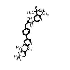 C=C(Cc1ccc(-c2cnc(NC(=C/C)/C(C)=N\C)nc2)cc1)Nc1cnc(C)c(C(C)(C)F)c1